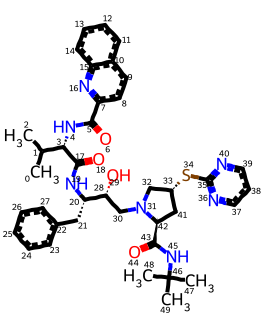 CC(C)[C@H](NC(=O)c1ccc2ccccc2n1)C(=O)N[C@@H](Cc1ccccc1)[C@H](O)CN1C[C@H](Sc2ncccn2)C[C@H]1C(=O)NC(C)(C)C